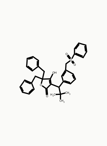 CC(C)(C)C(C1=C(O)C(Cc2ccccc2)(Cc2ccccc2)OC1=O)c1cccc(CS(=O)(=O)c2ccccc2)c1